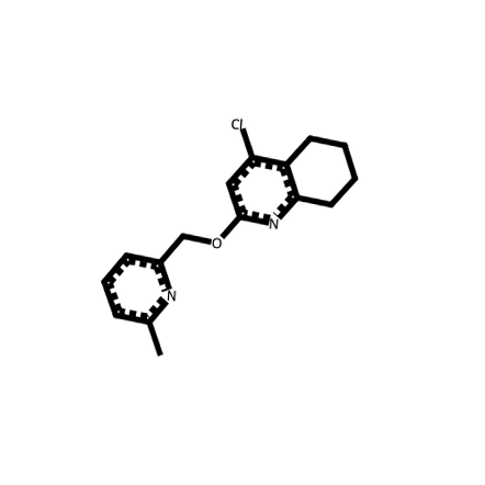 Cc1cccc(COc2cc(Cl)c3c(n2)CCCC3)n1